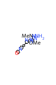 CNc1nc(N)nc2cnn(Cc3ncc(C4CC5(CCN(C6CCOCC6)CC5)C4)cc3OC)c12